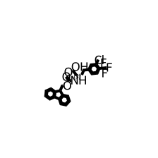 O=C(N[C@@H](CCc1ccc(C(F)(F)F)c(Cl)c1)C(=O)O)OCC1c2ccccc2-c2ccccc21